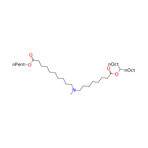 CCCCCCCCC(CCCCCCCC)OC(=O)CCCCCCCN(C)CCCCCCCCCC(=O)OCCCCC